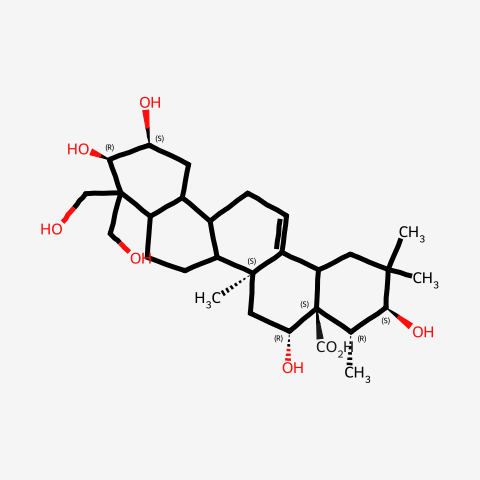 C[C@H]1[C@H](O)C(C)(C)CC2C3=CCC4C5C[C@H](O)[C@H](O)C(CO)(CO)C5CCC4[C@]3(C)C[C@@H](O)[C@]21C(=O)O